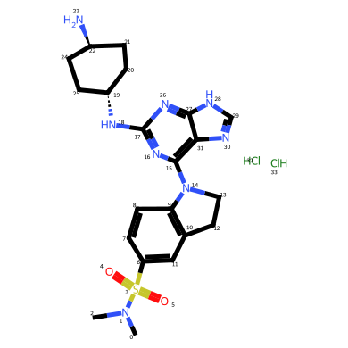 CN(C)S(=O)(=O)c1ccc2c(c1)CCN2c1nc(N[C@H]2CC[C@H](N)CC2)nc2[nH]cnc12.Cl.Cl